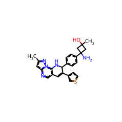 Cc1cc2ncc3c(n2n1)NC(c1ccc(C2(N)CC(C)(O)C2)cc1)C(c1ccsc1)=C3